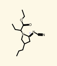 CCCC1C/C(=N\C#N)N(C(CC)C(=O)OCC)C1